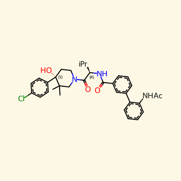 CC(=O)Nc1ccccc1-c1cccc(C(=O)N[C@@H](C(=O)N2CC[C@](O)(c3ccc(Cl)cc3)C(C)(C)C2)C(C)C)c1